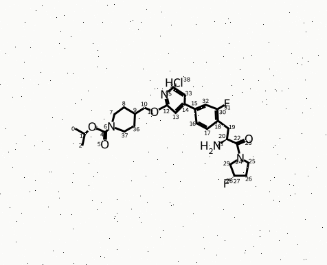 CC(C)OC(=O)N1CCC(COc2cc(-c3ccc(C[C@H](N)C(=O)N4CC[C@H](F)C4)c(F)c3)ccn2)CC1.Cl